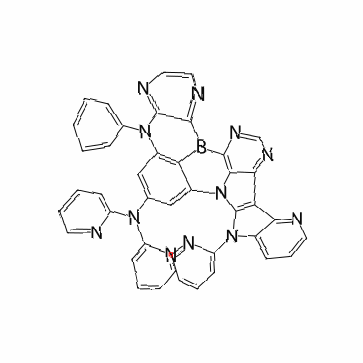 c1ccc(N2c3cc(N(c4ccccn4)c4ccccn4)cc4c3B(c3nccnc32)c2ncnc3c5c6ncccc6n(-c6ccccn6)c5n-4c23)cc1